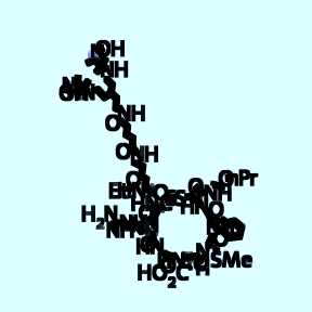 CCCOCCNC(=O)[C@@H]1CSSC[C@H](NC(=O)[C@H](CCCCNC(=O)CCCC(=O)NCCC(CCNC(C)(C)/C(C)=N\O)CCNC(C)(C)/C(C)=N\O)NC(=O)CC)C(=O)N[C@@H](CCCNC(=N)N)C(=O)NCC(=O)N[C@@H](CC(=O)O)C(=O)N[C@@H](CSC)C(=O)N[C@@H](Cc2ccccc2)C(=O)N1